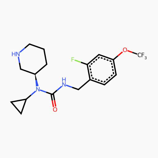 O=C(NCc1ccc(OC(F)(F)F)cc1F)N(C1CC1)[C@@H]1CCCNC1